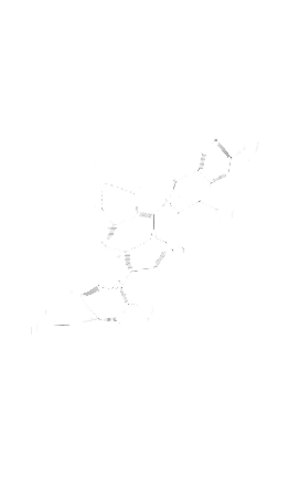 CCCN(Cc1ccc(C)cc1)c1c2c(nc3c(-c4ccc(OC)cc4C)cnn13)COC2